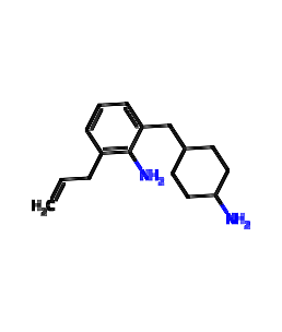 C=CCc1cccc(CC2CCC(N)CC2)c1N